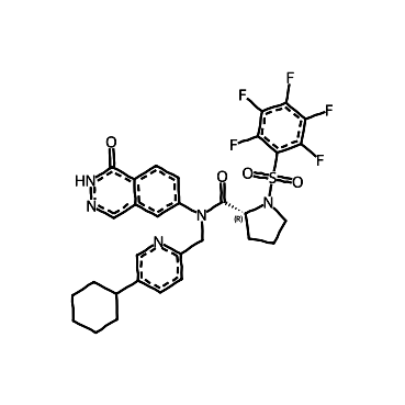 O=C([C@H]1CCCN1S(=O)(=O)c1c(F)c(F)c(F)c(F)c1F)N(Cc1ccc(C2CCCCC2)cn1)c1ccc2c(=O)[nH]ncc2c1